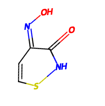 O=c1[nH]scc/c1=N/O